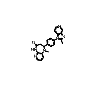 Cc1nc2cnccc2n1-c1ccc(C2CC(=O)Nc3ncccc3N2C)cc1